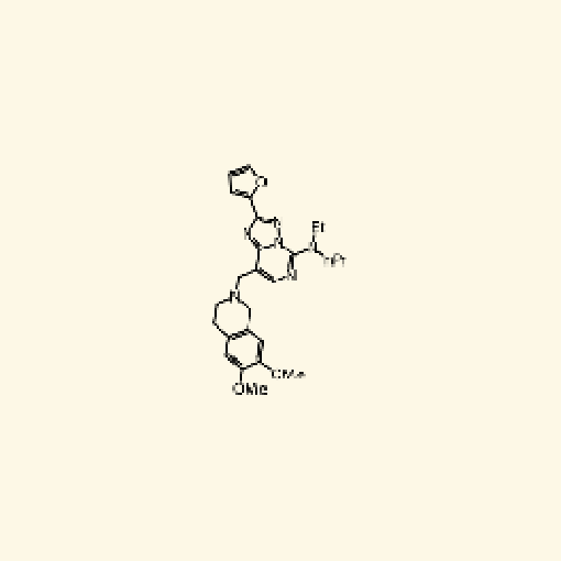 CCCN(CC)c1ncc(CN2CCc3cc(OC)c(OC)cc3C2)c2nc(-c3ccco3)nn12